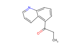 CCC(=O)c1cccc2ncccc12